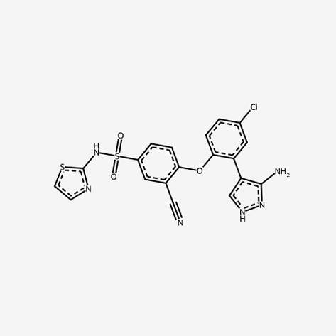 N#Cc1cc(S(=O)(=O)Nc2nccs2)ccc1Oc1ccc(Cl)cc1-c1c[nH]nc1N